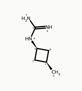 C[C@H]1C[C@@H](NC(=N)N)C1